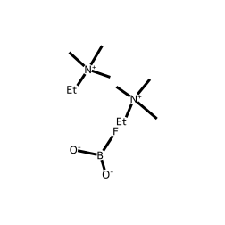 CC[N+](C)(C)C.CC[N+](C)(C)C.[O-]B([O-])F